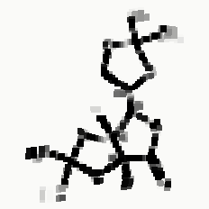 CC1(C)OC[C@H]([C@@H]2OC(=O)[C@@H]3OC(C)(C)O[C@H]23)O1